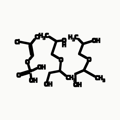 CC(O)COC(C)CO.CC(O)COC(C)CO.O=P(O)(O)OC=C(Cl)Cl